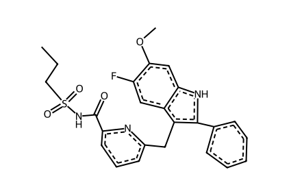 CCCS(=O)(=O)NC(=O)c1cccc(Cc2c(-c3ccccc3)[nH]c3cc(OC)c(F)cc23)n1